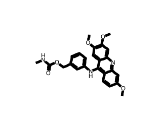 CNC(=O)OCc1cccc(Nc2c3ccc(OC)cc3nc3cc(OC)c(OC)cc23)c1